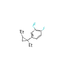 CCC1CC1(CC)c1ccc(F)c(F)c1